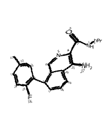 CCCNC(=O)c1ncc2c(-c3cc(C)ccc3F)cccc2c1N